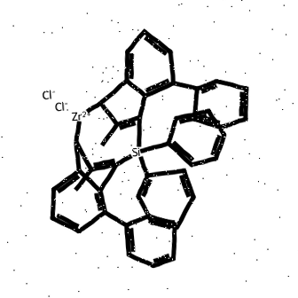 CC1=C2c3c(-c4ccccc4)cccc3[CH]1[Zr+2][CH]1C(C)=C(c3c(-c4ccccc4)cccc31)[Si]2(c1ccccc1)c1ccccc1.[Cl-].[Cl-]